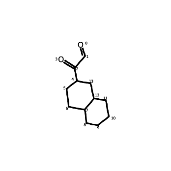 O=CC(=O)C1CCC2CCCCC2C1